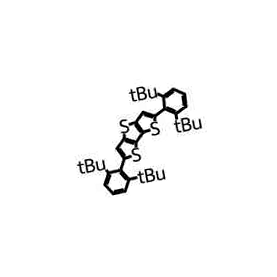 CC(C)(C)c1cccc(C(C)(C)C)c1-c1cc2sc3cc(-c4c(C(C)(C)C)cccc4C(C)(C)C)sc3c2s1